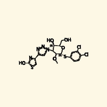 COC1C(n2cc(-c3csc(O)n3)nn2)[C@@H](O)C(CO)O[C@@H]1Sc1ccc(Cl)c(Cl)c1